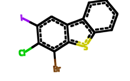 Clc1c(I)cc2c(sc3ccccc32)c1Br